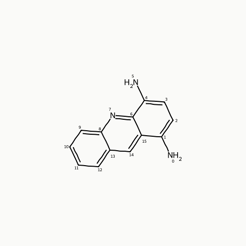 Nc1ccc(N)c2nc3ccccc3cc12